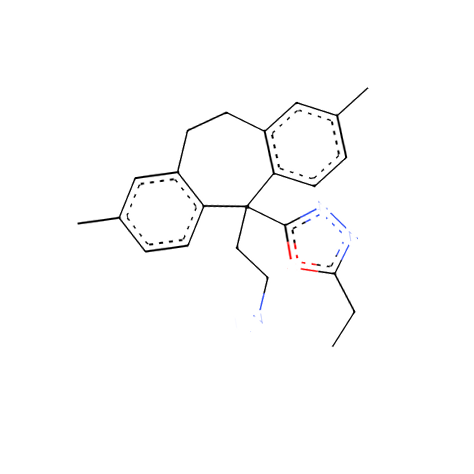 CCc1nnc(C2(CCN)c3ccc(C)cc3CCc3cc(C)ccc32)o1